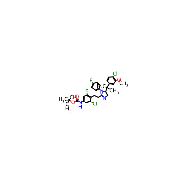 COc1cc(C(C)(C)C2CN=C(CCc3c(F)cc(NC(=O)OC(C)(C)C)cc3Cl)N2c2ccc(F)cc2)ccc1Cl